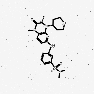 C[C@@H]1C(=O)N(C)c2ccc(Nc3cccc(S(=O)(=O)N(C)C)c3)nc2N1C1CCOCC1